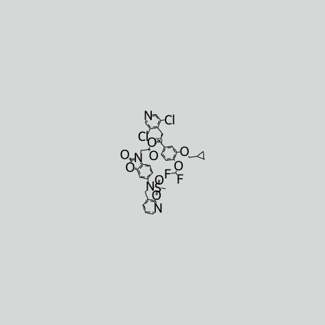 CS(=O)(=O)N(Cc1cccnc1)c1ccc2c(c1)oc(=O)n2CC(=O)O[C@@H](Cc1c(Cl)cncc1Cl)c1ccc(OC(F)F)c(OCC2CC2)c1